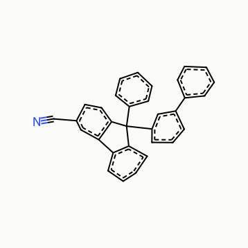 N#Cc1ccc2c(c1)-c1ccccc1C2(c1ccccc1)c1cccc(-c2ccccc2)c1